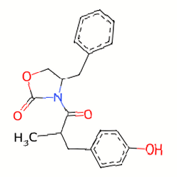 CC(Cc1ccc(O)cc1)C(=O)N1C(=O)OCC1Cc1ccccc1